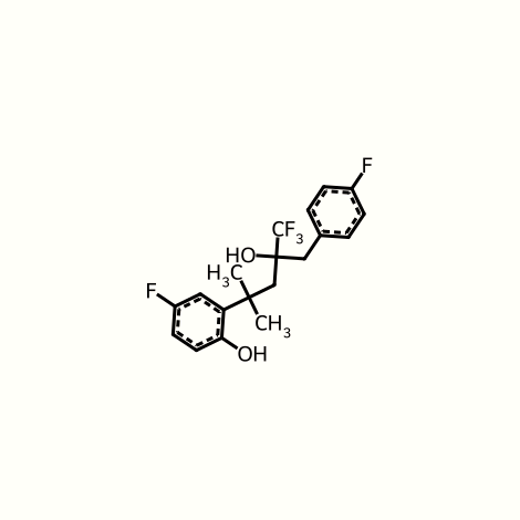 CC(C)(CC(O)(Cc1ccc(F)cc1)C(F)(F)F)c1cc(F)ccc1O